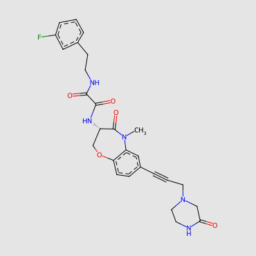 CN1C(=O)[C@@H](NC(=O)C(=O)NCCc2cccc(F)c2)COc2ccc(C#CCN3CCNC(=O)C3)cc21